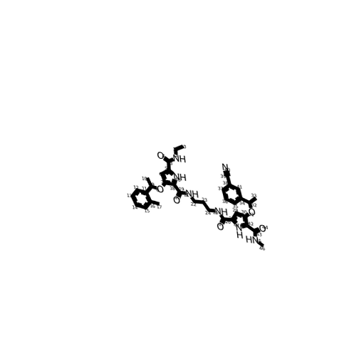 CCNC(=O)c1cc(OC(C)c2ccccc2C)c(C(=O)NCCCNC(=O)c2cc(OC(C)c3cccc(C#N)c3)c(C(=O)NC)[nH]2)[nH]1